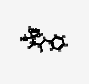 COP(=O)(O)N(C)C(C)Cc1ccccc1